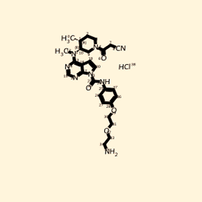 C[C@@H]1CCN(C(=O)CC#N)C[C@@H]1N(C)c1ncnc2c1ccn2C(=O)Nc1ccc(OCCOCCN)cc1.Cl